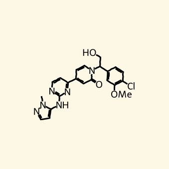 COc1cc(C(CO)n2ccc(-c3ccnc(Nc4ccnn4C)n3)cc2=O)ccc1Cl